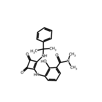 CN(C)C(=O)c1cccc(Nc2c(NC(C)(C)c3ccccc3)c(=O)c2=O)c1O